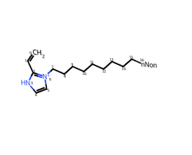 C=Cc1[nH]cc[n+]1CCCCCCCCCCCCCCCCCC